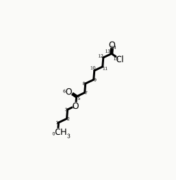 CCCCOC(=O)CCCCCCC(=O)Cl